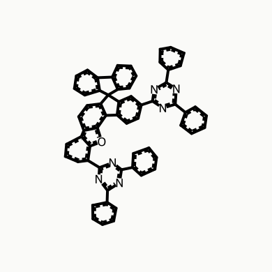 c1ccc(-c2nc(-c3ccccc3)nc(-c3ccc4c(c3)C3(c5ccccc5-c5ccccc53)c3ccc5c(oc6c(-c7nc(-c8ccccc8)nc(-c8ccccc8)n7)cccc65)c3-4)n2)cc1